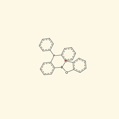 c1ccc(P(c2ccccc2)c2ccccc2B2Oc3ccccc3O2)cc1